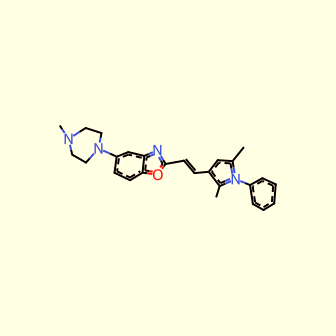 Cc1cc(C=Cc2nc3cc(N4CCN(C)CC4)ccc3o2)c(C)n1-c1ccccc1